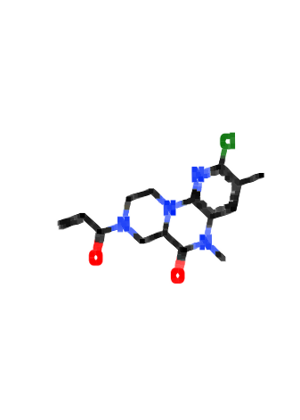 C=CC(=O)N1CCN2c3nc(Cl)c(C)cc3N(C)C(=O)C2C1